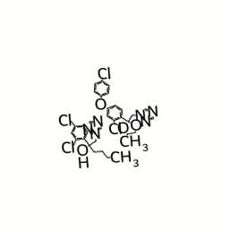 CC1COC(Cn2cncn2)(c2ccc(Oc3ccc(Cl)cc3)cc2Cl)O1.CCCCC(O)(Cn1cncn1)c1ccc(Cl)cc1Cl